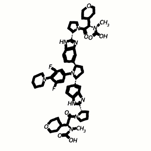 CN(C(=O)O)[C@H](C(=O)N1CCC[C@H]1c1nc2cc([C@H]3CC[C@H](c4ccc5[nH]c([C@@H]6CCCN6C(=O)[C@H](C6CCOCC6)N(C)C(=O)O)nc5c4)N3c3cc(F)c(N4CCCCC4)c(F)c3)ccc2[nH]1)C1CCOCC1